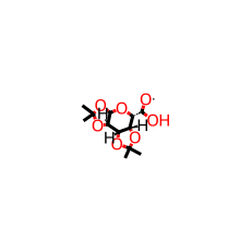 CC1(C)O[C@@H]2[C@H](O1)[C@H]1OC(C)(C)OC1O[C@@H]2C([O])O